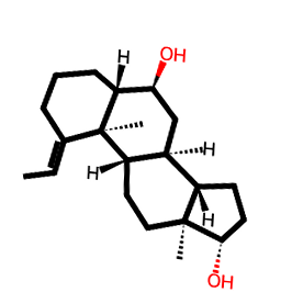 C/C=C1\CCC[C@@H]2[C@@H](O)C[C@H]3[C@@H]4CC[C@H](O)[C@@]4(C)CC[C@@H]3[C@@]12C